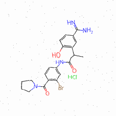 CC(C(=O)Nc1ccc(C(=O)N2CCCC2)c(Br)c1)c1cc(C(=N)N)ccc1O.Cl